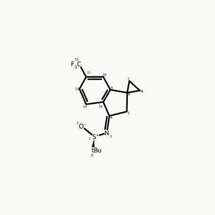 CC(C)(C)[S@@+]([O-])/N=C1/CC2(CC2)c2cc(C(F)(F)F)ccc21